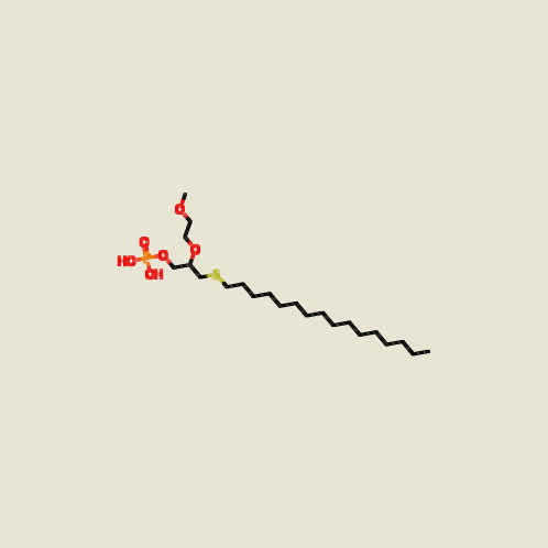 CCCCCCCCCCCCCCCCSCC(COP(=O)(O)O)OCCOC